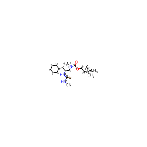 CN(CC(CC1CCCCC1)NC(=S)NC#N)C(=O)OCC[Si](C)(C)C